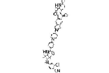 CN(c1ccc(C#N)c(Cl)c1)[C@H]1C(C)(C)[C@H](NC(=O)c2ccc(N3CCC(N4Cc5cc6c(cc5C4)C(=O)N(C4CCC(=O)NC4=O)C6=O)CC3)cc2)C1(C)C